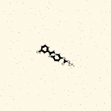 COC(=O)Oc1ccc2nc(-c3cccc(Cl)c3)cn2c1